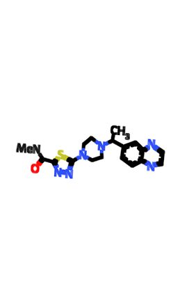 CNC(=O)c1nnc(N2CCN(C(C)c3ccc4nccnc4c3)CC2)s1